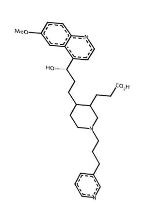 COc1ccc2nccc([C@@H](O)CCC3CCN(CCCc4cccnc4)CC3CCC(=O)O)c2c1